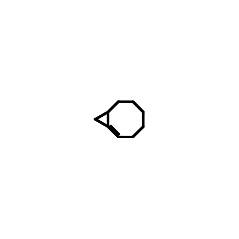 C1=C2CC2CCCCC1